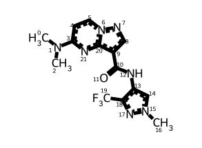 CN(C)c1ccn2ncc(C(=O)Nc3cn(C)nc3C(F)(F)F)c2n1